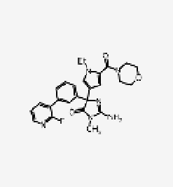 CCn1cc(C2(c3cccc(-c4cccnc4F)c3)N=C(N)N(C)C2=O)cc1C(=O)N1CCOCC1